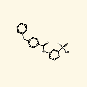 O=C(Nc1cccc(P(=O)(O)O)c1)c1ccc(Oc2ccccc2)cc1